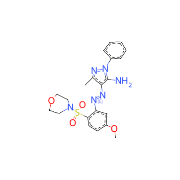 COc1ccc(S(=O)(=O)N2CCOCC2)c(/N=N/c2c(C)nn(-c3ccccc3)c2N)c1